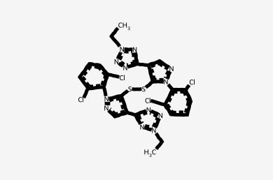 CCn1nnc(-c2cnn(-c3c(Cl)cccc3Cl)c2SSc2c(-c3nnn(CC)n3)cnn2-c2c(Cl)cccc2Cl)n1